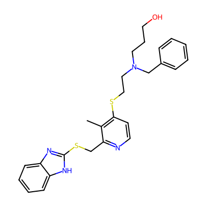 Cc1c(SCCN(CCCO)Cc2ccccc2)ccnc1CSc1nc2ccccc2[nH]1